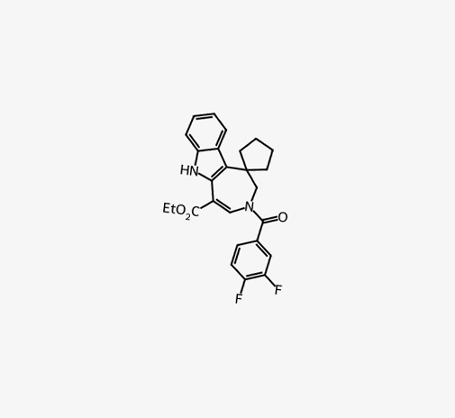 CCOC(=O)C1=CN(C(=O)c2ccc(F)c(F)c2)CC2(CCCC2)c2c1[nH]c1ccccc21